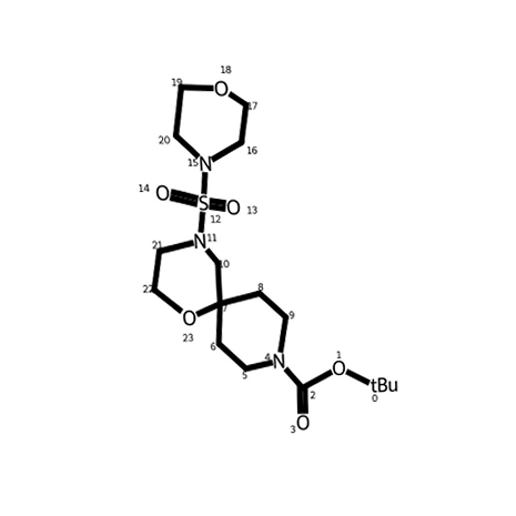 CC(C)(C)OC(=O)N1CCC2(CC1)CN(S(=O)(=O)N1CCOCC1)CCO2